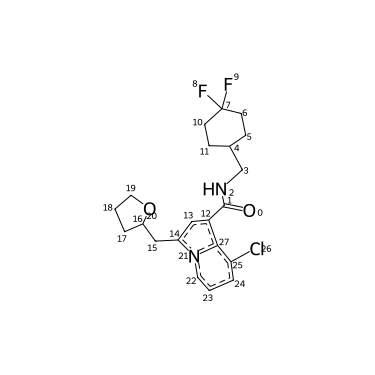 O=C(NCC1CCC(F)(F)CC1)c1cc(CC2CCCO2)n2cccc(Cl)c12